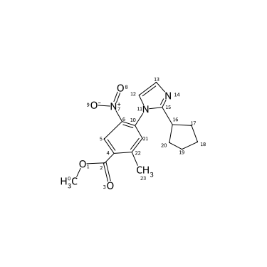 COC(=O)c1cc([N+](=O)[O-])c(-n2ccnc2C2CCCC2)cc1C